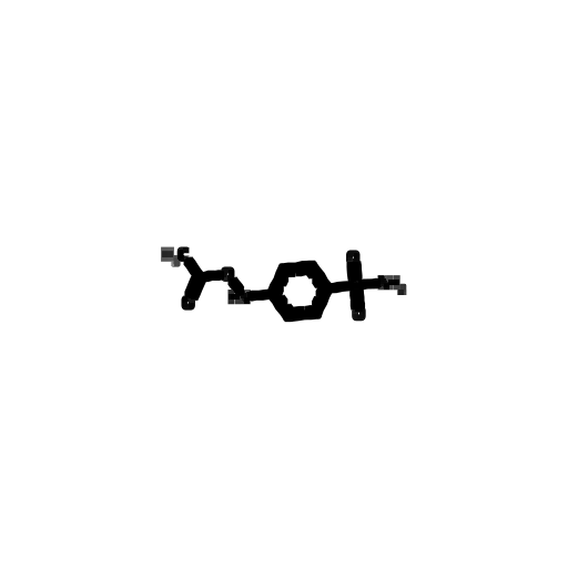 CC(=O)ONc1ccc(S(N)(=O)=O)cc1